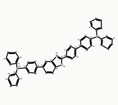 c1ccc(N(c2ccccc2)c2ccc(-c3ccc(-c4nc5cc(-c6ccc(N(c7ccccc7)c7ccccc7)cc6)ccc5o4)cc3)cc2)cc1